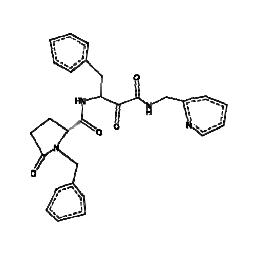 O=C(NCc1ccccn1)C(=O)C(Cc1ccccc1)NC(=O)[C@H]1CCC(=O)N1Cc1ccccc1